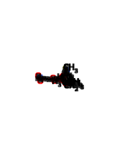 C=CC[C@H]1C(=O)C(C)(C)[C@@H](OC(=O)OCc2ccc(OC(=O)CCCCCCCCCCN3C(=O)C=CC3=O)cc2)CC(=O)O[C@H](c2ccc3sc(C)nc3c2)C/C=C(\C)CCC[C@H](C)[C@@H]1O[Si](C)(C)C(C)(C)C